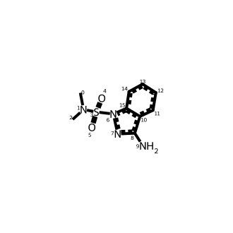 CN(C)S(=O)(=O)n1nc(N)c2ccccc21